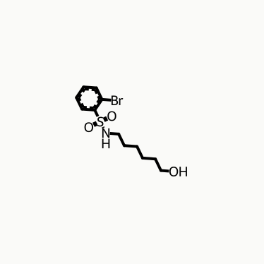 O=S(=O)(NCCCCCCO)c1ccccc1Br